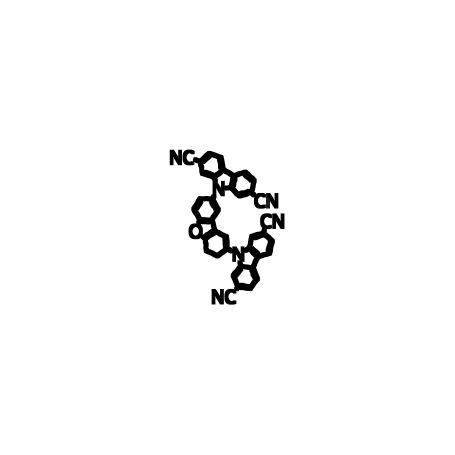 N#Cc1ccc2c3ccc(C#N)cc3n(C3=Cc4c(oc5ccc(-n6c7cc(C#N)ccc7c7ccc(C#N)cc76)cc45)CC3)c2c1